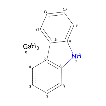 [GaH3].[c]1cccc2c1[nH]c1ccccc12